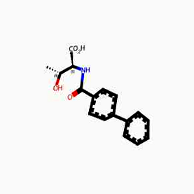 C[C@@H](O)[C@H](NC(=O)c1ccc(-c2ccccc2)cc1)C(=O)O